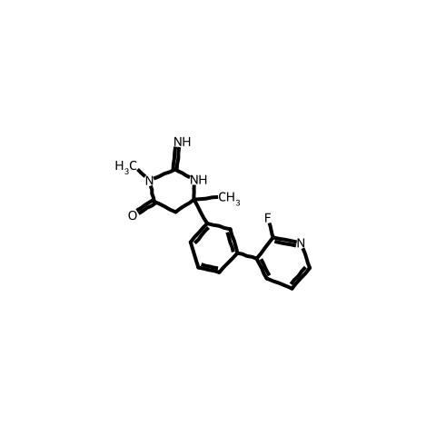 CN1C(=N)NC(C)(c2cccc(-c3cccnc3F)c2)CC1=O